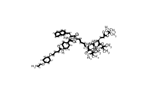 CC(C)(C)OC(=O)CC[C@H](NC(=O)N[C@@H](CCCCNC(=O)[C@H](Cc1ccc2ccccc2c1)NC(=O)C1CCC(NC(=O)CCCOC2CCC(OCCN)CC2)CC1)C(=O)OC(C)(C)C)C(=O)OC(C)(C)C